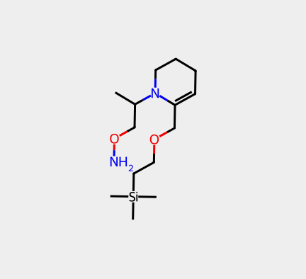 CC(CON)N1CCCC=C1COCC[Si](C)(C)C